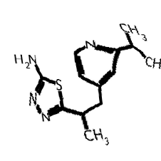 CC(C)c1cc(CC(C)c2nnc(N)s2)ccn1